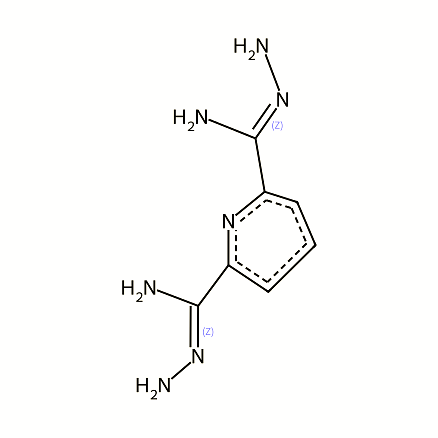 N/N=C(\N)c1cccc(/C(N)=N/N)n1